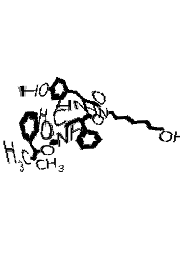 CC(C)C(OC(=O)NC(C)C(C(=O)NC(Cc1ccc(O)cc1)C(=O)NCCCCCCCO)c1ccccc1)c1ccccc1